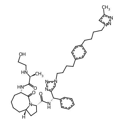 Cc1cn(CCCCc2ccc(CCCCn3cc([C@@H](NC(=O)[C@@H]4CC[C@@H]5CCCC[C@H](NC(=O)[C@H](C)NCCO)C(=O)N54)c4ccccc4)nn3)cc2)nn1